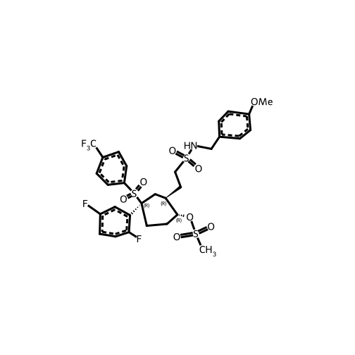 COc1ccc(CNS(=O)(=O)CC[C@@H]2C[C@](c3cc(F)ccc3F)(S(=O)(=O)c3ccc(C(F)(F)F)cc3)CC[C@H]2OS(C)(=O)=O)cc1